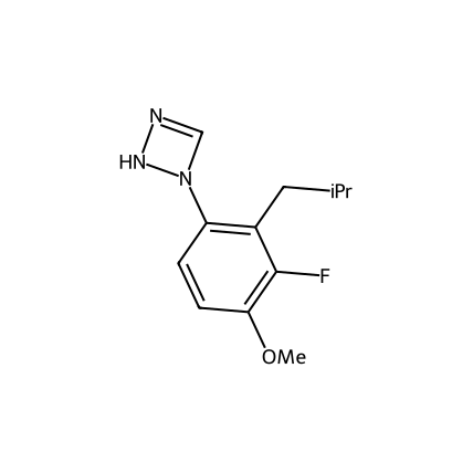 COc1ccc(-n2cn[nH]2)c(CC(C)C)c1F